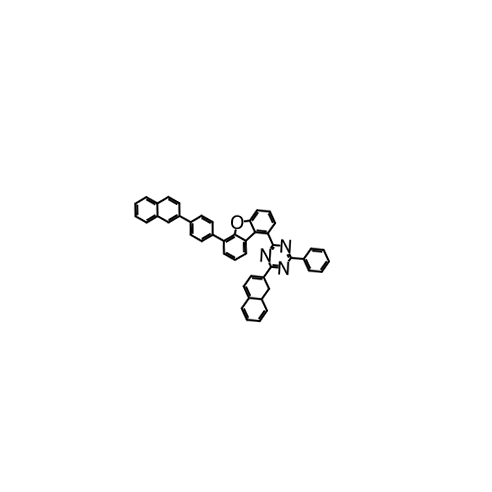 C1=CC2=CC=C(c3nc(-c4ccccc4)nc(-c4cccc5oc6c(-c7ccc(-c8ccc9ccccc9c8)cc7)cccc6c45)n3)CC2C=C1